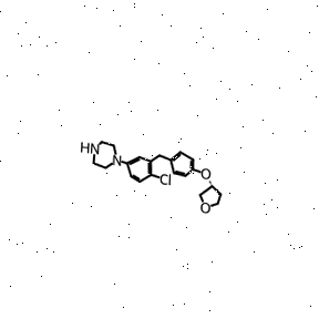 Clc1ccc(N2CCNCC2)cc1Cc1ccc(O[C@@H]2CCOC2)cc1